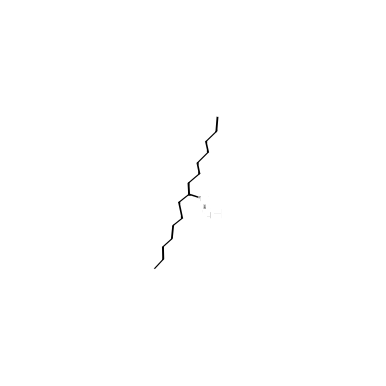 CCCCCCCC(CCCCCCC)O[SiH2]